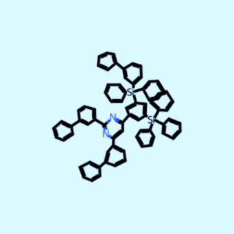 c1ccc(-c2cccc(-c3cc(-c4cc([Si](c5ccccc5)(c5ccccc5)c5ccccc5)cc([Si](c5ccccc5)(c5ccccc5)c5cccc(-c6ccccc6)c5)c4)nc(-c4cccc(-c5ccccc5)c4)n3)c2)cc1